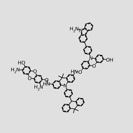 CC1(C)c2ccccc2C(c2ccc(N3c4ccc(NOc5ccc6c(c5)Oc5cc(O)ccc5N6c5ccc(-c6ccc7c(c6)c6ccccc6n7N)cc5)cc4C(C)(C)c4cc(NOc5cc6c(cc5N)Oc5cc(N)c(O)cc5O6)ccc43)cc2)c2ccccc21